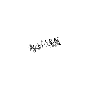 CC1=C(CCCCN2CCN(C(=O)c3ccco3)CC2)C(=O)N(c2ccc(C#N)c(C(F)(F)F)c2)C1=O